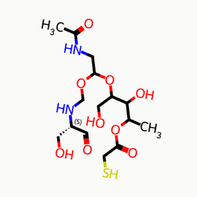 CC(=O)NCC(OCN[C@H](C=O)CO)OC(CO)C(O)C(C)OC(=O)CS